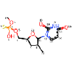 COP(O)(=S)OCC1CC(C)C(n2ccc(=O)[nH]c2=O)O1